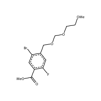 COCCOCOCc1cc(F)c(C(=O)OC)cc1Br